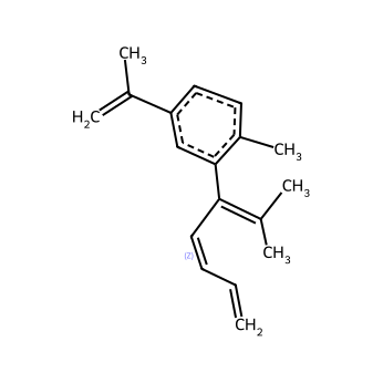 C=C/C=C\C(=C(C)C)c1cc(C(=C)C)ccc1C